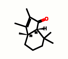 CC1=C(C)[C@]2(C)CCCC(C)(C)[C@@H]2C1=O